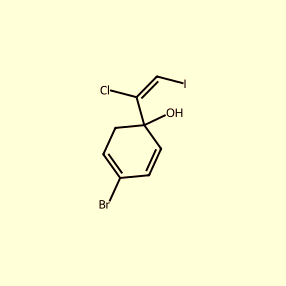 OC1(/C(Cl)=C\I)C=CC(Br)=CC1